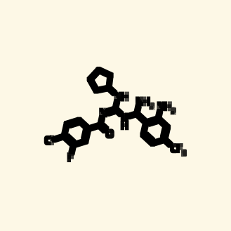 Nc1cc(C(F)(F)F)ccc1C(N)N/C(=N\C(=O)c1ccc(Cl)c(F)c1)NC1CCCC1